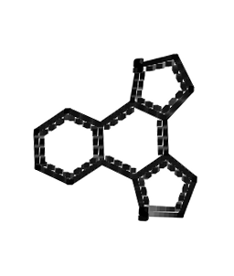 c1ccc2c(c1)c1sccc1c1ccsc21